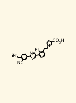 CCc1c(CCN2CCC(C(=O)O)C2)cccc1-c1cnc(-c2ccc(CC(C)C)c(C#N)c2)nc1